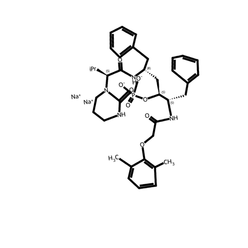 Cc1cccc(C)c1OCC(=O)N[C@@H](Cc1ccccc1)[C@H](C[C@@H](Cc1ccccc1)NC(=O)[C@H](C(C)C)N1CCCNC1=O)OP(=O)([O-])[O-].[Na+].[Na+]